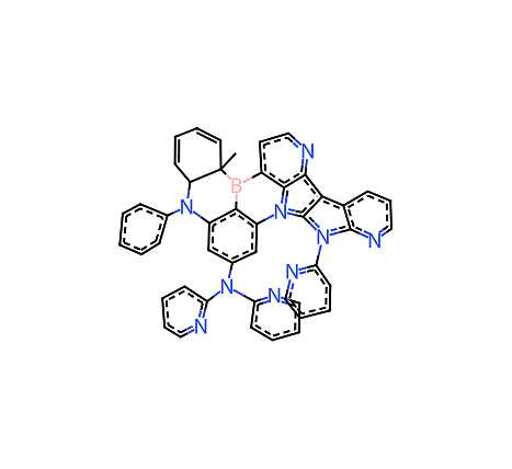 CC12C=CC=CC1N(c1ccccc1)c1cc(N(c3ccccn3)c3ccccn3)cc3c1B2c1ccnc2c4c5cccnc5n(-c5ccccn5)c4n-3c12